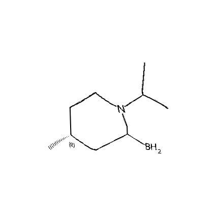 BC1C[C@H](C)CCN1C(C)C